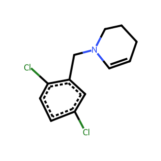 Clc1ccc(Cl)c(CN2C=CCCC2)c1